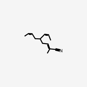 C/C=C\CC(/C=C\C)C/C=C(\C)C#N